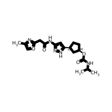 Cc1coc(CC(=O)Nc2cc([C@H]3CC[C@@H](OC(=O)NC(C)C)C3)[nH]n2)n1